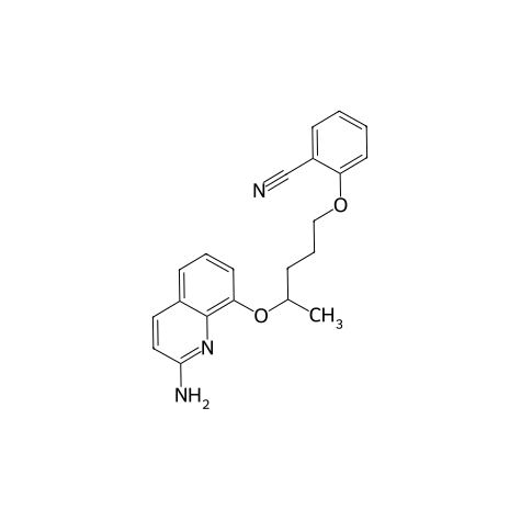 CC(CCCOc1ccccc1C#N)Oc1cccc2ccc(N)nc12